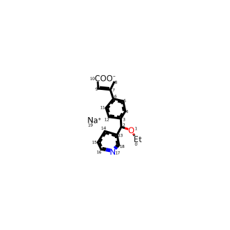 CCOC(c1ccc(C(C)=CC(=O)[O-])cc1)c1cccnc1.[Na+]